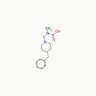 CN(SN1CCC(Cc2ccccc2)CC1)C(=O)O